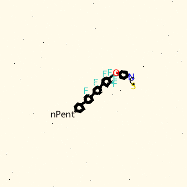 CCCCCc1ccc(-c2ccc(-c3ccc(-c4cc(F)c(C(F)(F)Oc5ccc(N=C=S)cc5)c(F)c4)c(F)c3)c(F)c2)cc1